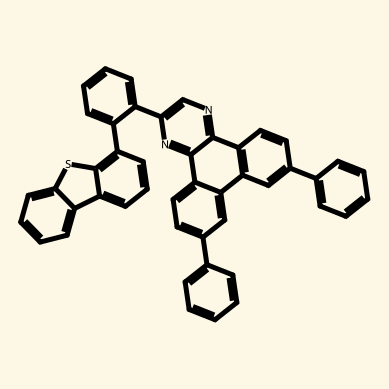 c1ccc(-c2ccc3c(c2)c2cc(-c4ccccc4)ccc2c2nc(-c4ccccc4-c4cccc5c4sc4ccccc45)cnc32)cc1